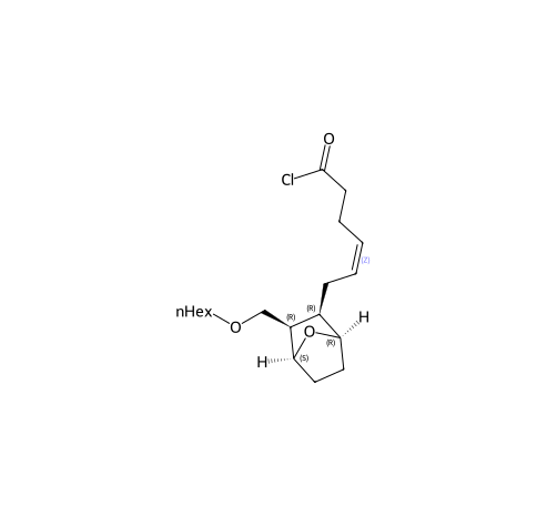 CCCCCCOC[C@H]1[C@@H](C/C=C\CCC(=O)Cl)[C@H]2CC[C@@H]1O2